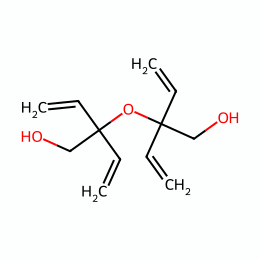 C=CC(C=C)(CO)OC(C=C)(C=C)CO